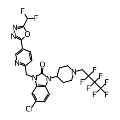 O=c1n(Cc2ccc(-c3nnc(C(F)F)o3)cn2)c2cc(Cl)ccc2n1C1CCN(CC(F)(F)C(F)(F)C(F)(F)F)CC1